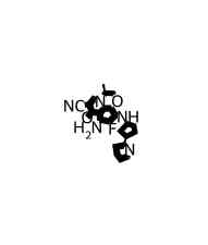 C[C@H]1COc2c(N[C@H]3CC[C@@H](c4ccccn4)C3)c(F)c(N)c3c(=O)c(C#N)cn1c23